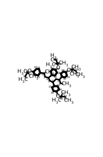 CCC(CC(CC(CC(C)c1ccc(OC(C)(C)CC)cc1)c1ccc(OC(C)(C)CC)cc1)c1ccc(OC(C)(C)CC)cc1)c1ccc(OC(C)(C)CC)cc1